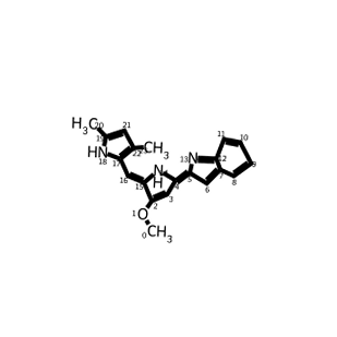 COc1cc(=C2C=c3ccccc3=N2)[nH]/c1=C\c1[nH]c(C)cc1C